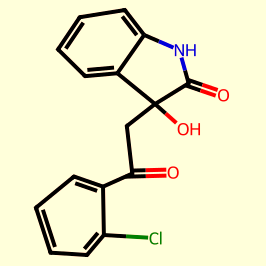 O=C(CC1(O)C(=O)Nc2ccccc21)c1ccccc1Cl